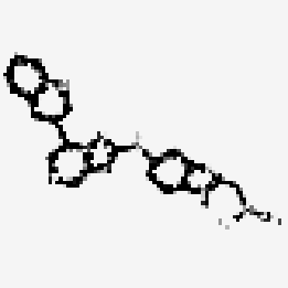 CN(C)Cc1nc2cc(Nc3nc4cncc(-c5cnc6ccccc6c5)n4n3)ccc2[nH]1